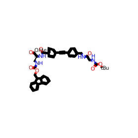 COC(=O)[C@H](CNC(=O)OCC1c2ccccc2-c2ccccc21)NC(=O)c1ccc(C#Cc2ccc(CNC(=O)CNC(=O)OC(C)(C)C)cc2)cc1